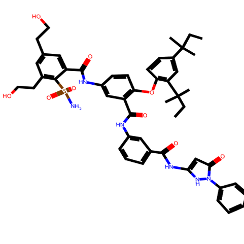 CCC(C)(C)c1ccc(Oc2ccc(NC(=O)c3cc(CCO)cc(CCO)c3S(N)(=O)=O)cc2C(=O)Nc2cccc(C(=O)Nc3cc(=O)n(-c4ccccc4)[nH]3)c2)c(C(C)(C)CC)c1